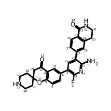 Nc1nc(F)c(-c2ccc3c(c2)C(=O)CC2(CCNCC2)O3)cc1-c1ccc2c(c1)CCNC2=O